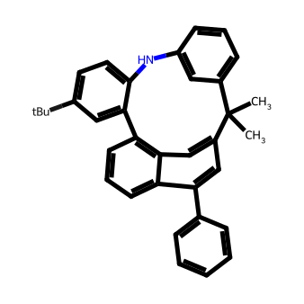 CC(C)(C)c1ccc2c(c1)-c1cccc3c(-c4ccccc4)cc(cc13)C(C)(C)c1cccc(c1)N2